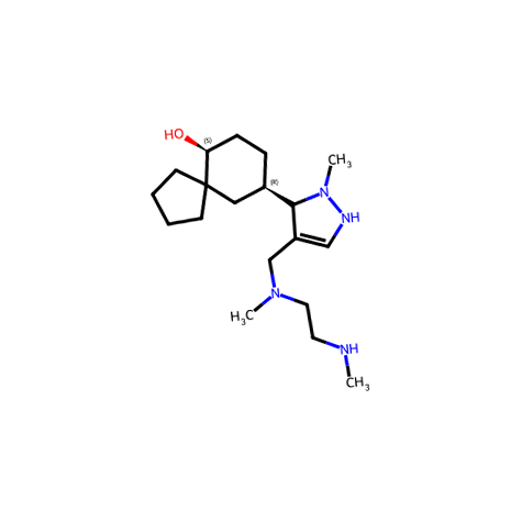 CNCCN(C)CC1=CNN(C)C1[C@@H]1CC[C@H](O)C2(CCCC2)C1